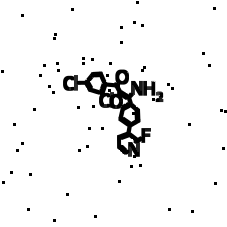 Nc1c(C(=O)c2ccc(Cl)cc2Cl)oc2cc(-c3cccnc3F)ccc12